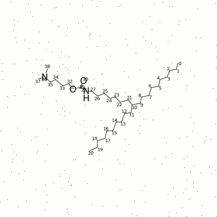 CCCCCCCCCCC(CCCCCCCCCC)CCCCCCCNC(=O)OCCCCN(C)C